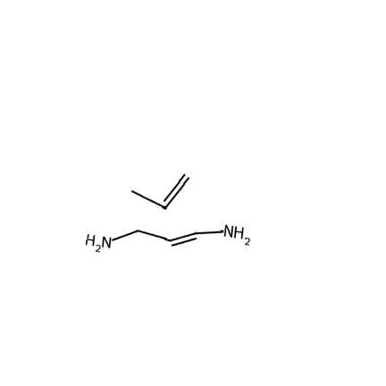 C=CC.NC=CCN